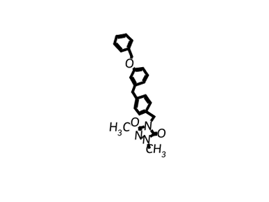 COc1nn(C)c(=O)n1Cc1ccc(Cc2cccc(OCc3ccccc3)c2)cc1